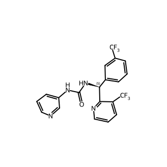 O=C(Nc1cccnc1)N[C@@H](c1cccc(C(F)(F)F)c1)c1ncccc1C(F)(F)F